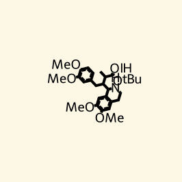 COc1ccc(CC(C(C)C(=O)OC(C)(C)C)C2NCCc3cc(OC)c(OC)cc32)cc1OC.I